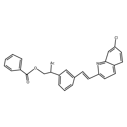 CC(=O)C(COC(=O)c1ccccc1)c1cccc(C=Cc2ccc3ccc(Cl)cc3n2)c1